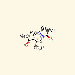 CNC(=O)N(CC(CC(=O)OC)C(=O)O)N(C)C